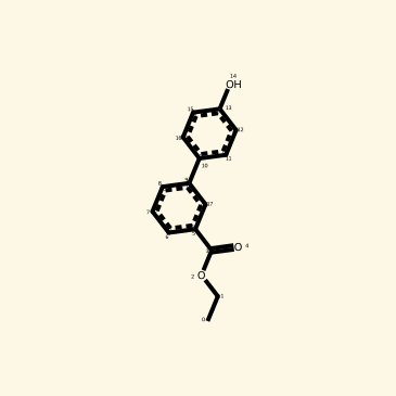 CCOC(=O)c1cccc(-c2ccc(O)cc2)c1